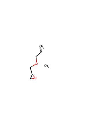 C.C=CCOCC1CO1